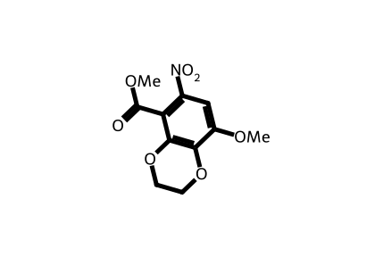 COC(=O)c1c([N+](=O)[O-])cc(OC)c2c1OCCO2